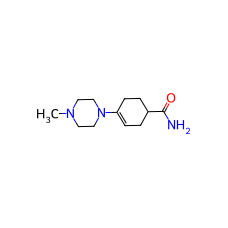 CN1CCN(C2=CCC(C(N)=O)CC2)CC1